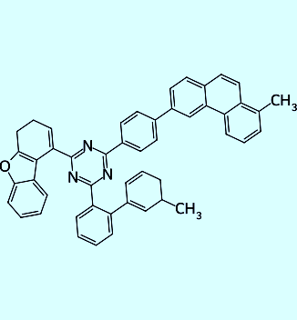 Cc1cccc2c1ccc1ccc(-c3ccc(-c4nc(C5=CCCc6oc7ccccc7c65)nc(-c5ccccc5C5=CC(C)CC=C5)n4)cc3)cc12